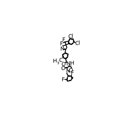 Cc1cc(C2=NCC3(C2)c2cc(Cl)cc(Cl)c2C3(F)F)ccc1C(=O)N[C@@H]1CON(Cc2c(F)cccc2F)C1=O